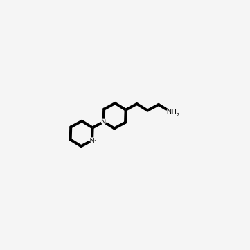 NCCCC1CCN(C2CCCC[N]2)CC1